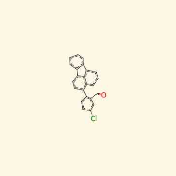 O=Cc1cc(Cl)ccc1-c1ccc2c3c(cccc13)-c1ccccc1-2